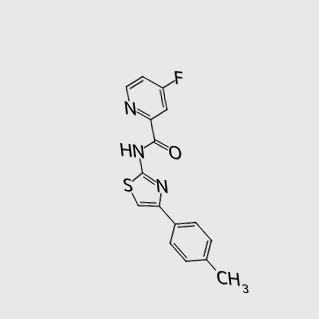 Cc1ccc(-c2csc(NC(=O)c3cc(F)ccn3)n2)cc1